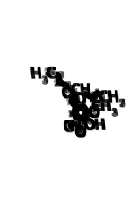 CCCCOC(C)(Cc1cc(OC)c(O)c([N+](=O)[O-])c1)OCCCC